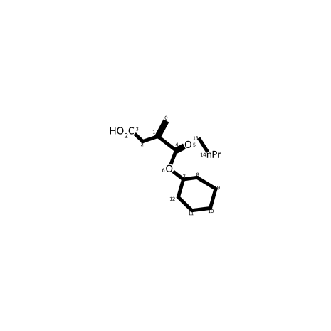 C=C(CC(=O)O)C(=O)OC1CCCCC1.CCCC